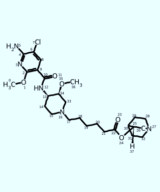 COc1nc(N)c(Cl)cc1C(=O)N[C@@H]1CCN(CCCCCC(=O)O[C@H]2CN3CCC2CC3)C[C@@H]1OC